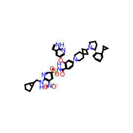 O=C(NS(=O)(=O)c1cnc(NCC2C3CCCC32)c([N+](=O)[O-])c1)c1ccc(N2CCC3(CC2)CC(N2CCC[C@@H]2c2ccccc2C2CC2)C3)cc1Oc1cnc2[nH]ccc2c1